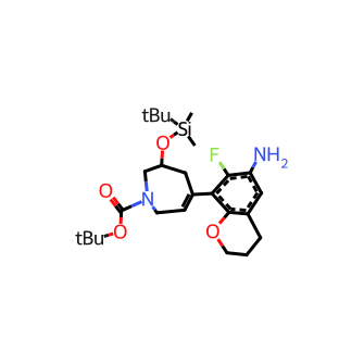 CC(C)(C)OC(=O)N1CC=C(c2c(F)c(N)cc3c2OCCC3)CC(O[Si](C)(C)C(C)(C)C)C1